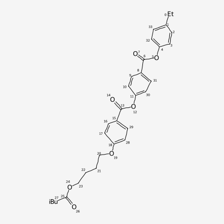 CCc1ccc(OC(=O)c2ccc(OC(=O)c3ccc(OCCCCOC(=O)C(C)CC)cc3)cc2)cc1